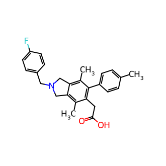 Cc1ccc(-c2c(C)c3c(c(C)c2CC(=O)O)CN(Cc2ccc(F)cc2)C3)cc1